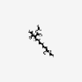 CCOC(=O)CCCCCCC(C(=O)CC)C(=O)OCC